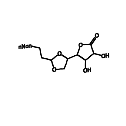 CCCCCCCCCCCC1OCC(C2OC(=O)C(O)C2O)O1